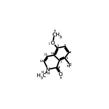 COc1ccc(F)c2c(=O)n(C)ccc12